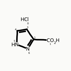 Cl.O=C(O)c1cc[nH]n1